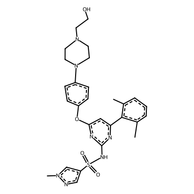 Cc1cccc(C)c1-c1cc(Oc2ccc(N3CCN(CCO)CC3)cc2)nc(NS(=O)(=O)c2cnn(C)c2)n1